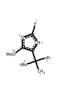 CCCCC(C)(CCC)c1nc(F)oc1OC